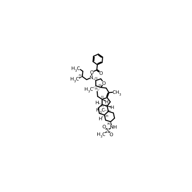 CC[C@H](C)CN(OC(=O)c1ccccc1)[C@@H]1CO[C@]2(CC[C@@H]3C(=C(C)C2)C[C@H]2[C@H]3CC[C@@H]3C[C@H](NS(C)(=O)=O)CC[C@@]32C)[C@@H]1C